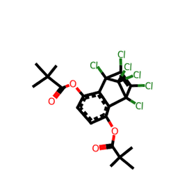 CC(C)(C)C(=O)Oc1ccc(OC(=O)C(C)(C)C)c2c1C1(Cl)C(Cl)=C(Cl)C2(Cl)C1(Cl)Cl